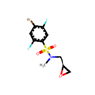 CN(C[C@H]1CO1)S(=O)(=O)c1cc(F)c(Br)cc1F